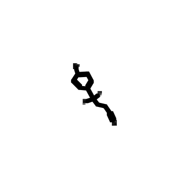 N#CCCC(F)(F)c1ccc(Br)cc1